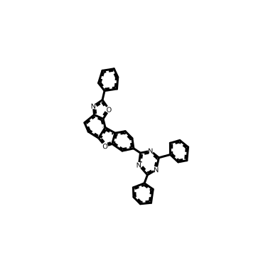 c1ccc(-c2nc(-c3ccccc3)nc(-c3ccc4c(c3)oc3ccc5nc(-c6ccccc6)oc5c34)n2)cc1